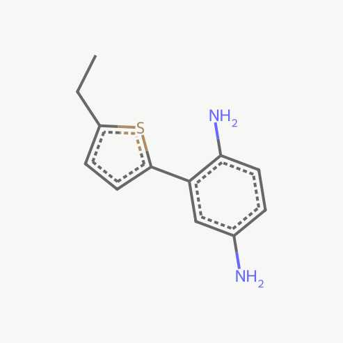 CCc1ccc(-c2cc(N)ccc2N)s1